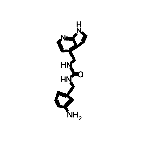 Nc1cccc(CNC(=O)NCc2ccnc3[nH]ccc23)c1